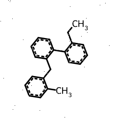 CCc1ccccc1-c1ccccc1Cc1ccccc1C